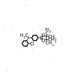 CC(c1ccc(B2OC(C)(C)C(C)(C)O2)cc1)c1ccccc1Cl